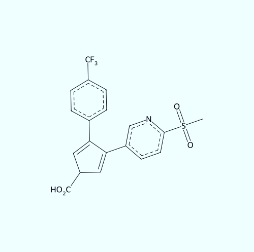 CS(=O)(=O)c1ccc(C2=CC(C(=O)O)C=C2c2ccc(C(F)(F)F)cc2)cn1